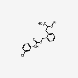 CC(C)OC(Cc1ccccc1COC(=O)Nc1cccc(Cl)c1)C(=O)O